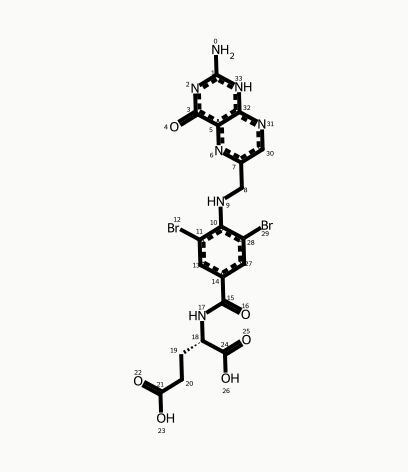 Nc1nc(=O)c2nc(CNc3c(Br)cc(C(=O)N[C@@H](CCC(=O)O)C(=O)O)cc3Br)cnc2[nH]1